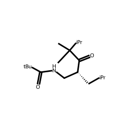 CC(C)C[C@H](CNC(=O)C(C)(C)C)C(=O)C(C)(C)C(C)C